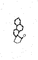 O=C1CCCc2ccc3c(ccc4ccccc43)c21